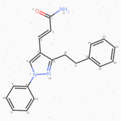 NC(=O)C=Cc1cn(-c2ccccc2)nc1CCc1ccccc1